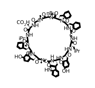 CCCC[C@H]1C(=O)N(C)CC(=O)N[C@@H](CC(=O)O)C(=O)N[C@@H](C(C)C)C(=O)N(C)[C@@H](Cc2ccccc2)C(=O)N[C@@H](Cc2ccc(O)cc2)C(=O)N(C)CC(=O)N[C@@H](Cc2c[nH]c3ccccc23)C(=O)N[C@@H](Cc2ccc(O)cc2)C(=O)N[C@@H](CC(C)C)C(=O)NCC(=O)N[C@@H](Cc2ccccc2)C(=O)N(C)[C@@H](Cc2ccccc2)C(=O)N1C